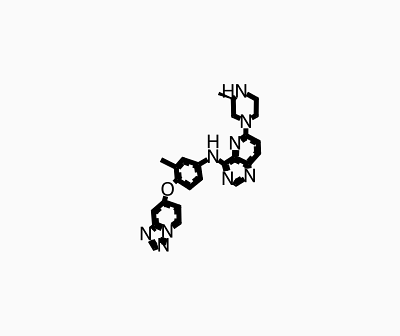 Cc1cc(Nc2ncnc3ccc(N4CCN[C@H](C)C4)nc23)ccc1Oc1ccn2ncnc2c1